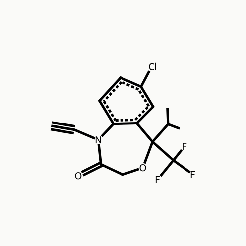 C#CN1C(=O)COC(C(C)C)(C(F)(F)F)c2cc(Cl)ccc21